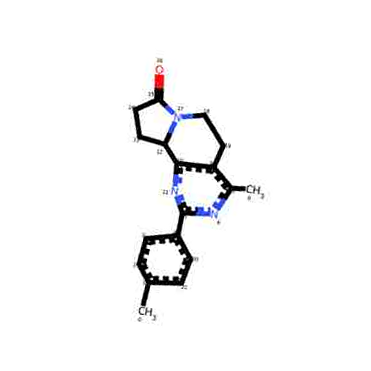 Cc1ccc(-c2nc(C)c3c(n2)C2CCC(=O)N2CC3)cc1